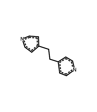 c1cc(CCc2ccncc2)ccn1